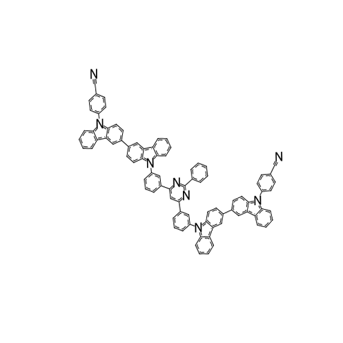 N#Cc1ccc(-n2c3ccccc3c3cc(-c4ccc5c(c4)c4ccccc4n5-c4cccc(-c5cc(-c6cccc(-n7c8ccccc8c8cc(-c9ccc%10c(c9)c9ccccc9n%10-c9ccc(C#N)cc9)ccc87)c6)nc(-c6ccccc6)n5)c4)ccc32)cc1